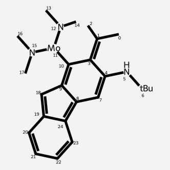 CC(C)=c1c(NC(C)(C)C)cc2c([c]1[Mo]([N](C)C)[N](C)C)C=c1ccccc1=2